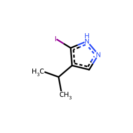 CC(C)c1cn[nH]c1I